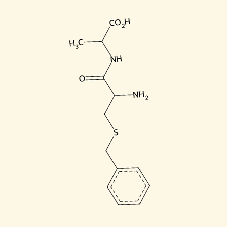 CC(NC(=O)C(N)CSCc1ccccc1)C(=O)O